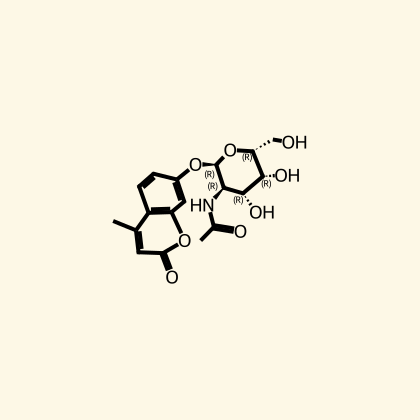 CC(=O)N[C@H]1[C@@H](Oc2ccc3c(C)cc(=O)oc3c2)O[C@H](CO)[C@H](O)[C@@H]1O